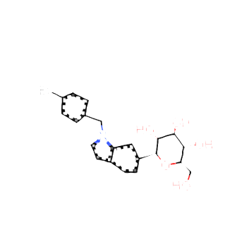 CCc1ccc(Cn2ccc3ccc([C@@H]4O[C@H](CO)[C@@H](O)[C@H](O)[C@H]4O)cc32)cc1